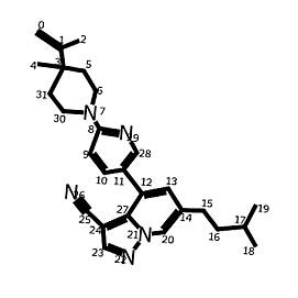 C=C(C)C1(C)CCN(c2ccc(-c3cc(CCC(C)C)cn4ncc(C#N)c34)cn2)CC1